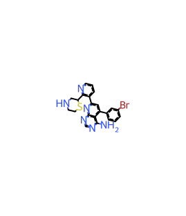 Nc1ncnc2nc(-c3cccnc3C3CNCCS3)cc(-c3cccc(Br)c3)c12